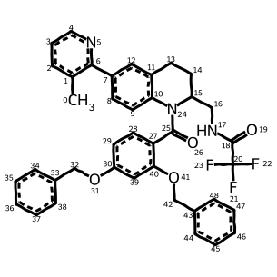 Cc1cccnc1-c1ccc2c(c1)CCC(CNC(=O)C(F)(F)F)N2C(=O)c1ccc(OCc2ccccc2)cc1OCc1ccccc1